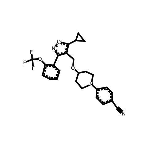 N#Cc1ccc(N2CCC(OCc3c(-c4ccccc4OC(F)(F)F)noc3C3CC3)CC2)cc1